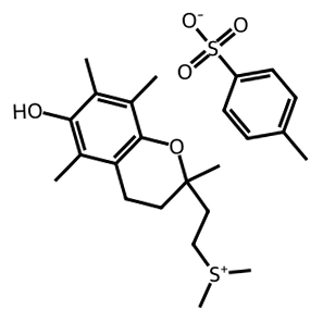 Cc1c(C)c2c(c(C)c1O)CCC(C)(CC[S+](C)C)O2.Cc1ccc(S(=O)(=O)[O-])cc1